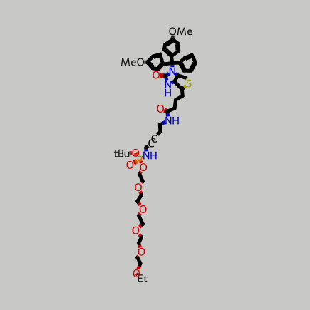 CCOCCOCCOCCOCCOCCOP(=O)(NCCCCCNC(=O)CCCC1SCC2C1NC(=O)N2C(c1ccccc1)(c1ccc(OC)cc1)c1ccc(OC)cc1)OC(C)(C)C